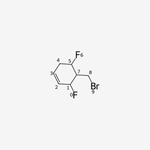 FC1C=CCC(F)C1CBr